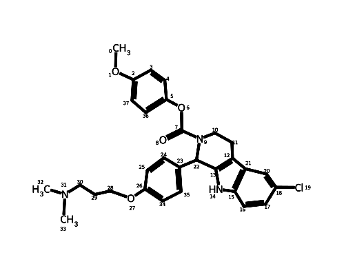 COc1ccc(OC(=O)N2CCc3c([nH]c4ccc(Cl)cc34)C2c2ccc(OCCCN(C)C)cc2)cc1